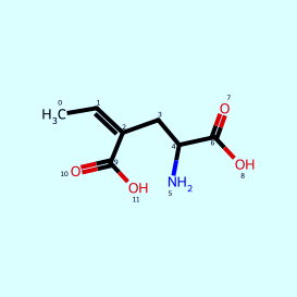 CC=C(CC(N)C(=O)O)C(=O)O